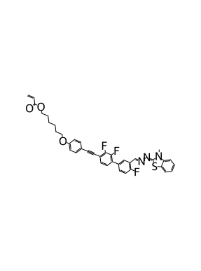 C=CC(=O)OCCCCCCOc1ccc(C#Cc2ccc(-c3ccc(F)c(/C=N/N=c4\sc5ccccc5n4C)c3)c(F)c2F)cc1